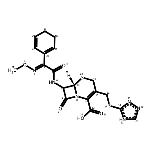 CON=C(C(=O)NC1C(=O)N2C(C(=O)O)=C(CSc3nnc[nH]3)CS[C@@H]12)C1=CCCC=C1